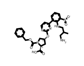 CC(CN)CNc1c(-c2ccnc(O[C@H]3C[C@@H](C(=O)O)N(C(=O)OCc4ccccc4)C3)n2)cccc1[N+](=O)[O-]